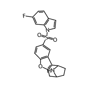 O=S(=O)(c1ccc2oc3c(c2c1)C1CCC(C3)N1)n1ccc2ccc(F)cc21